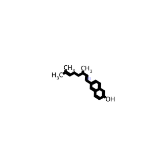 CC(C)=CCCC(C)/C=C/c1ccc2cc(O)ccc2c1